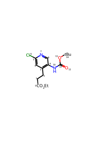 CCOC(=O)CCc1cc(Cl)ncc1NC(=O)OC(C)(C)C